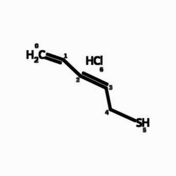 C=CC=CCS.Cl